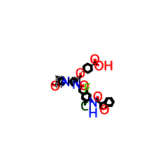 CO[C@H]1CN([C@H]2C[C@@H](CO[C@H]3CC[C@H](C(=O)O)CC3)N(C(=O)Cc3cc(Cl)c(NC(=O)c4coc5ccccc45)cc3F)C2)C[C@H]1C